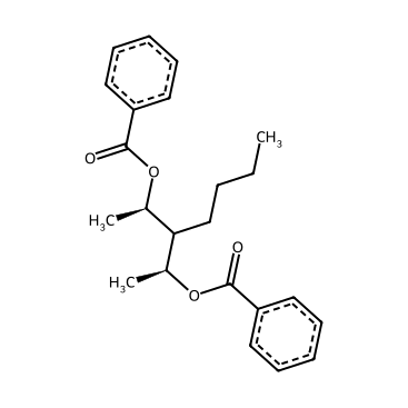 CCCCC([C@H](C)OC(=O)c1ccccc1)[C@@H](C)OC(=O)c1ccccc1